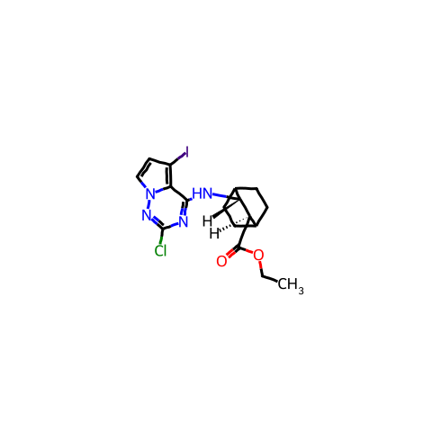 CCOC(=O)[C@@H]1C2CCC(CC2)[C@H]1Nc1nc(Cl)nn2ccc(I)c12